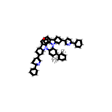 N#Cc1cc(-n2c3ccccc3c3ccc(-c4ccc(-c5ccccc5)nc4)cc32)c(-n2c3ccccc3c3ccc(-c4ccc(-c5ccccc5)nc4)cc32)cc1-c1c(C(F)(F)F)cccc1C(F)(F)F